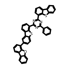 c1ccc(-c2nc(-c3cccc4c3sc3ccccc34)nc(-c3cccc4c3sc3ccc(-c5cccc6c5oc5ccccc56)cc34)n2)cc1